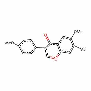 COc1ccc(-c2coc3cc(C(C)=O)c(OC)cc3c2=O)cc1